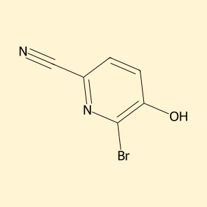 N#Cc1ccc(O)c(Br)n1